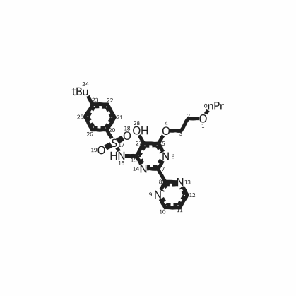 CCCOCCOc1nc(-c2ncccn2)nc(NS(=O)(=O)c2ccc(C(C)(C)C)cc2)c1O